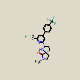 Cc1cc(-c2ccc(C(F)(F)F)cc2)cc([C@@H]2CC[C@@]3(CCN(C)C3=O)N2)n1.Cl